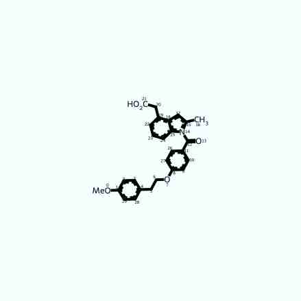 COc1ccc(CCOc2ccc(C(=O)n3c(C)cc4c(CC(=O)O)cccc43)cc2)cc1